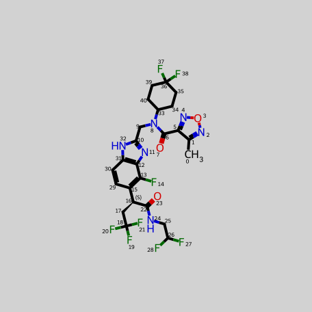 Cc1nonc1C(=O)N(Cc1nc2c(F)c([C@H](CC(F)(F)F)C(=O)NCC(F)F)ccc2[nH]1)C1CCC(F)(F)CC1